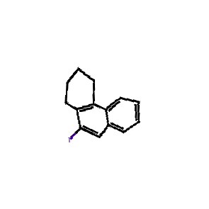 Ic1cc2ccccc2c2c1CCCC2